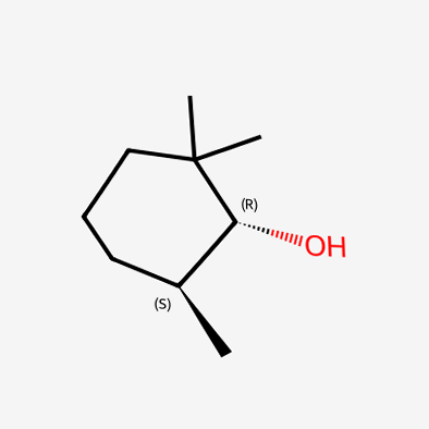 C[C@H]1CCCC(C)(C)[C@@H]1O